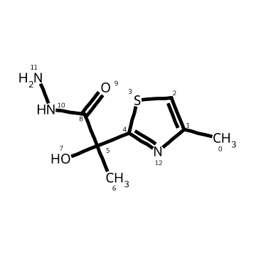 Cc1csc(C(C)(O)C(=O)NN)n1